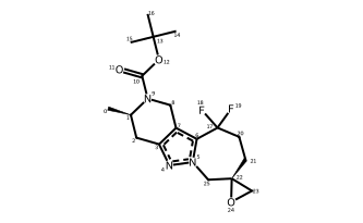 C[C@@H]1Cc2nn3c(c2CN1C(=O)OC(C)(C)C)C(F)(F)CC[C@]1(CO1)C3